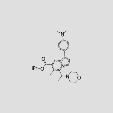 Cc1c(C(=O)OC(C)C)cc2c(-c3ccc(N(C)C)cc3)ccn2c1C(C)N1CCOCC1